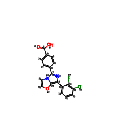 O=C(O)c1ccc(-c2nc(-c3cccc(Cl)c3F)c3occn23)cc1